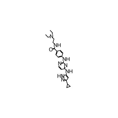 CCN(CC)CCNC(=O)c1ccc(Nc2nccc(Nc3cc(C4CC4)n[nH]3)n2)cc1